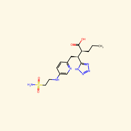 CCC[C@H](C(=O)O)[C@H](Cc1ccc(NCCS(N)(=O)=O)cn1)c1nnn[nH]1